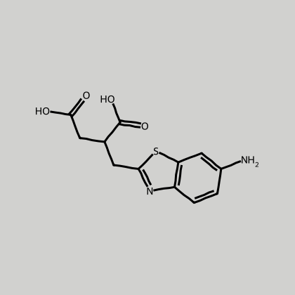 Nc1ccc2nc(CC(CC(=O)O)C(=O)O)sc2c1